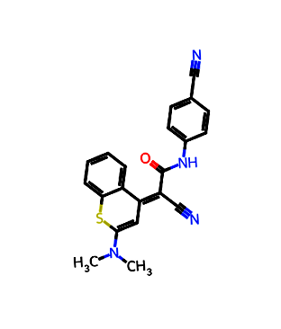 CN(C)C1=C/C(=C(\C#N)C(=O)Nc2ccc(C#N)cc2)c2ccccc2S1